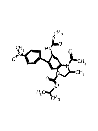 COC(=O)Nc1cc2c(cc1-c1ccc([S+](C)[O-])cc1)N(C(=O)OC(C)C)CC(C)N2C(C)=O